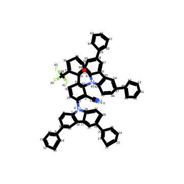 N#Cc1c(-n2c3ccc(-c4ccccc4)cc3c3cc(-c4ccccc4)ccc32)ccc(-c2ccccc2C(F)(F)F)c1-n1c2ccc(-c3ccccc3)cc2c2cc(-c3ccccc3)ccc21